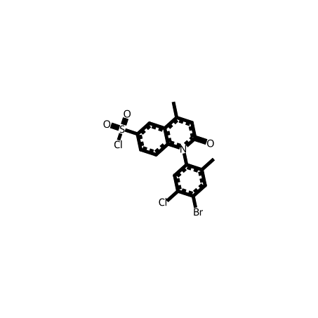 Cc1cc(Br)c(Cl)cc1-n1c(=O)cc(C)c2cc(S(=O)(=O)Cl)ccc21